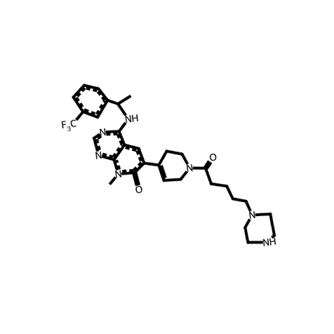 CC(Nc1ncnc2c1cc(C1=CCN(C(=O)CCCCN3CCNCC3)CC1)c(=O)n2C)c1cccc(C(F)(F)F)c1